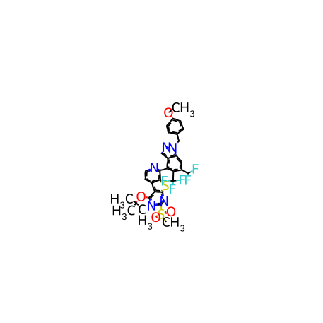 COc1ccc(Cn2ncc3c(-c4nccc5c4sc4nc(S(C)(=O)=O)nc(OC(C)(C)C)c45)c(C(F)(F)F)c(C(F)F)cc32)cc1